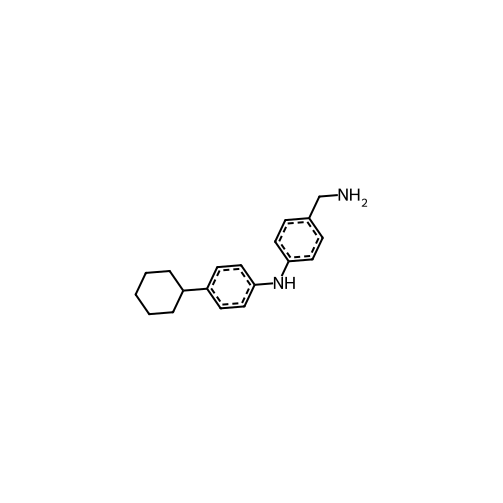 NCc1ccc(Nc2ccc(C3CCCCC3)cc2)cc1